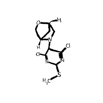 CSC1N=C(Cl)C(N2C[C@@H]3C[C@H]2CO3)C(Cl)=N1